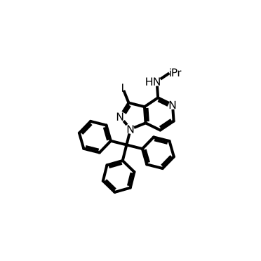 CC(C)Nc1nccc2c1c(I)nn2C(c1ccccc1)(c1ccccc1)c1ccccc1